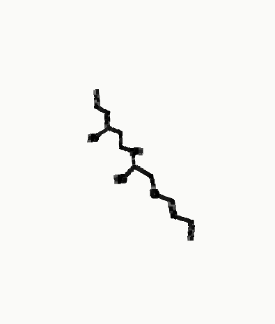 C=C/C=C(\S)CCNC(O)CO/C=C/C=C